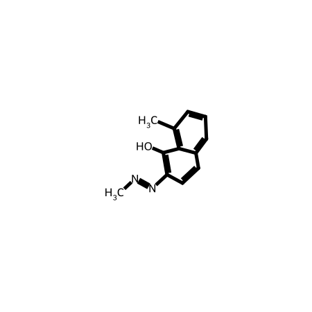 CN=Nc1ccc2cccc(C)c2c1O